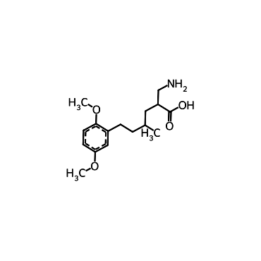 COc1ccc(OC)c(CCC(C)CC(CN)C(=O)O)c1